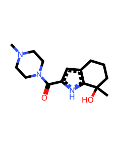 CN1CCN(C(=O)c2cc3c([nH]2)C(C)(O)CCC3)CC1